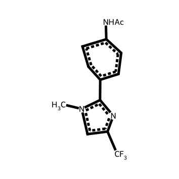 CC(=O)Nc1ccc(-c2nc(C(F)(F)F)cn2C)cc1